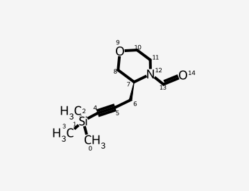 C[Si](C)(C)C#CC[C@H]1COCCN1C=O